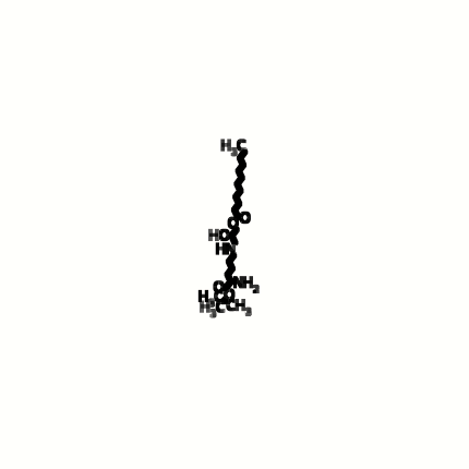 CCCCCCCCCCCC(=O)OCC(O)CNCCCCC(N)C(=O)OC(C)(C)C